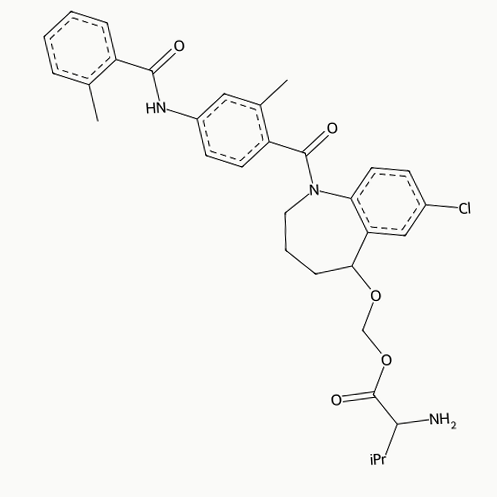 Cc1ccccc1C(=O)Nc1ccc(C(=O)N2CCCC(OCOC(=O)C(N)C(C)C)c3cc(Cl)ccc32)c(C)c1